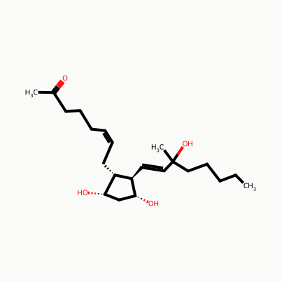 CCCCCC(C)(O)/C=C/[C@@H]1[C@@H](C/C=C\CCCC(C)=O)[C@@H](O)C[C@H]1O